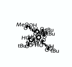 COC(=O)[C@@H](O)CNCC1=CC[C@@H](NC(=O)OC(C)(C)C)C([C@H]2[C@H](O)[C@@H](O[C@H]3OC[C@](C)(O)[C@H](N(C)C(=O)OC(C)(C)C)[C@H]3O)[C@H](NC(=O)[C@@H](O)CCNC(=O)OC(C)(C)C)C[C@@H]2NC(=O)OC(C)(C)C)O1